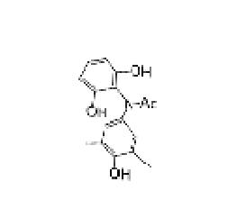 CC(=O)N(c1cc(C)c(O)c(C)c1)c1c(O)cccc1O